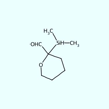 C[SiH](C)C1([C]=O)CCCCO1